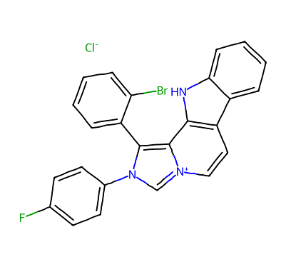 Fc1ccc(-n2c[n+]3ccc4c5ccccc5[nH]c4c3c2-c2ccccc2Br)cc1.[Cl-]